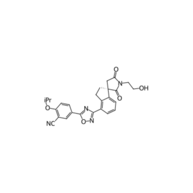 CC(C)Oc1ccc(-c2nc(-c3cccc4c3CC[C@@]43CC(=O)N(CCO)C3=O)no2)cc1C#N